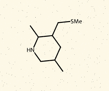 CSCC1CC(C)CNC1C